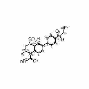 CCCC(=O)N1c2ccc(-c3ccc(S(=O)(=O)CC(C)C)cc3)cc2N(C(=O)O)C[C@@H]1C